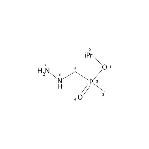 CC(C)OP(C)(=O)CNN